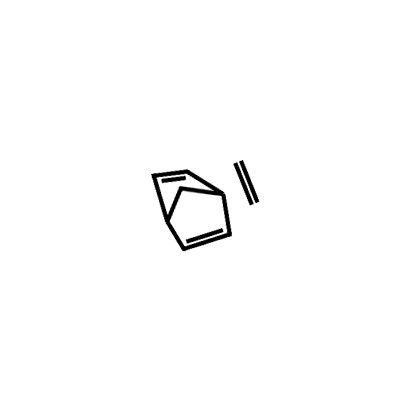 C1=CC2C=CC1C2.C=C